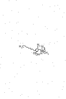 CCCCCCCCCC1=CC(C)C(CN[C@](C)(CC)OI)C=C1C(=O)O